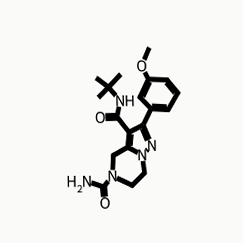 COc1cccc(-c2nn3c(c2C(=O)NC(C)(C)C)CN(C(N)=O)CC3)c1